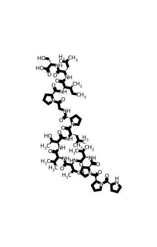 CC[C@H](C)[C@H](NC(=O)[C@@H]1CCCN1C(=O)CNC(=O)[C@@H]1CCCN1C(=O)[C@H](CC(C)C)NC(=O)[C@@H](NC(=O)[C@@H](NC(=O)[C@@H](NC(=O)[C@@H](NC(=O)[C@@H]1CCCN1C(=O)[C@@H]1CCCN1C(=O)[C@@H]1CCCN1)C(C)C)C(C)C)C(C)C)[C@@H](C)O)C(=O)N[C@@H](CC(C)C)C(=O)N[C@@H](CO)C(=O)O